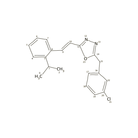 CC(C)c1ccccc1/C=C/c1nnc(Cc2cccc(Cl)c2)o1